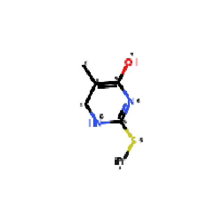 CC1=C(O)N=C(SC(C)C)N[CH]1